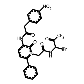 CC(C)C(NC(=O)Cn1c(-c2ccccc2)ccc(NC(=O)Cc2ccc([N+](=O)[O-])cc2)c1=O)C(=O)C(F)(F)F